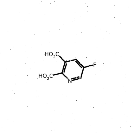 O=C(O)c1cc(F)cnc1C(=O)O